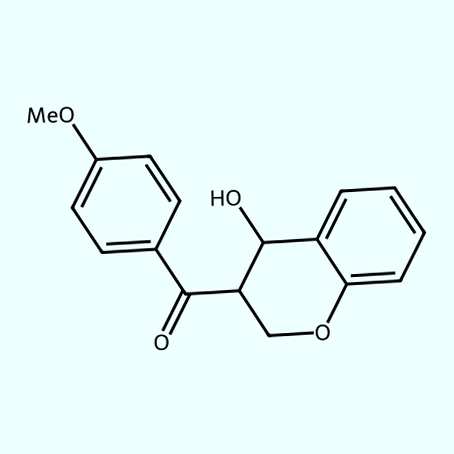 COc1ccc(C(=O)C2COc3ccccc3C2O)cc1